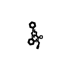 C#CCN1C(=O)C2CN(c3ccccc3)CN2c2ccccc21